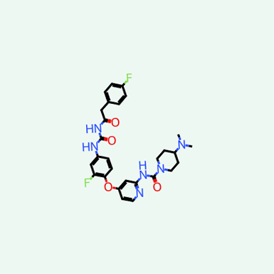 CN(C)C1CCN(C(=O)Nc2cc(Oc3ccc(NC(=O)NC(=O)Cc4ccc(F)cc4)cc3F)ccn2)CC1